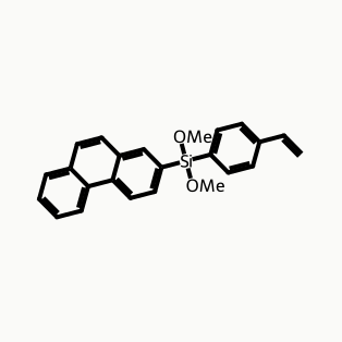 C=Cc1ccc([Si](OC)(OC)c2ccc3c(ccc4ccccc43)c2)cc1